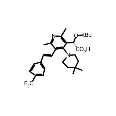 Cc1nc(C)c([C@H](OC(C)(C)C)C(=O)O)c(N2CCC(C)(C)CC2)c1C=Cc1ccc(C(F)(F)F)cc1